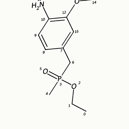 CCOP(C)(=O)Cc1ccc(N)c(OC)c1